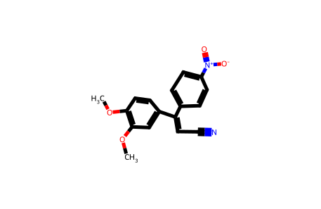 COc1ccc(C(=CC#N)c2ccc([N+](=O)[O-])cc2)cc1OC